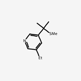 CCc1cncc(C(C)(C)SC)c1